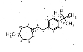 CC1CCCN(CCc2ccc(C(C)(C)C)cc2)CC1